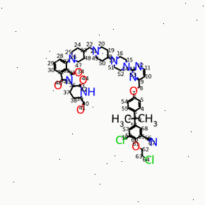 CC(C)(c1ccc(OCc2ccnc(N3CCN(C4CCN(CC5CCN(c6cccc7c6C(=O)N(C6CCC(C=O)NC6=O)C7=O)CC5)CC4)CC3)n2)cc1)c1cc(Cl)c(OCCCl)c(C#N)c1